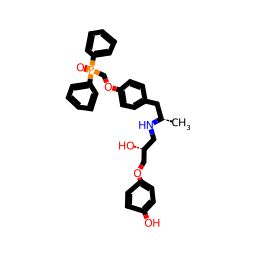 C[C@@H](Cc1ccc(OCP(=O)(c2ccccc2)c2ccccc2)cc1)NC[C@@H](O)COc1ccc(O)cc1